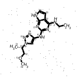 CCNc1nc(Nc2cn([C@@H](C)COC)nn2)nc2[nH]ccc12